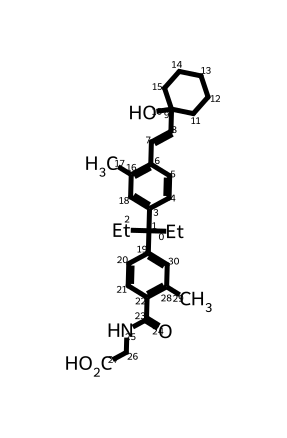 CCC(CC)(c1ccc(/C=C/C2(O)CCCCC2)c(C)c1)c1ccc(C(=O)NCC(=O)O)c(C)c1